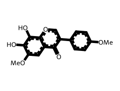 COc1ccc(-c2coc3c(O)c(O)c(OC)cc3c2=O)cc1